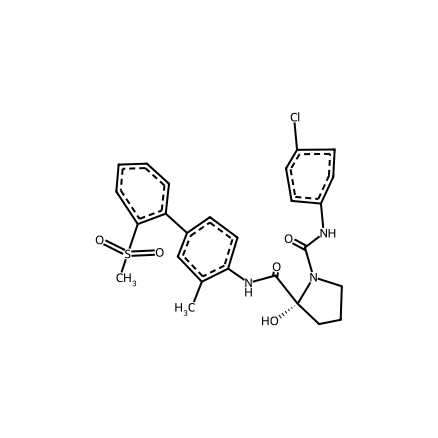 Cc1cc(-c2ccccc2S(C)(=O)=O)ccc1NC(=O)[C@]1(O)CCCN1C(=O)Nc1ccc(Cl)cc1